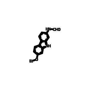 CCOc1ccc2c(c1)[nH]c1cc(NC=O)ccc12